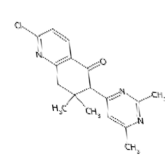 Cc1cc(C2C(=O)c3ccc(Cl)nc3CC2(C)C)nc(C)n1